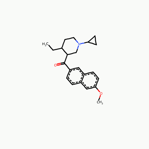 CCC1CCN(C2CC2)CC1C(=O)c1ccc2cc(OC)ccc2c1